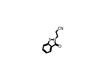 N#CCCn1sc2ccccc2c1=O